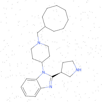 c1ccc2c(c1)nc([C@H]1CCNC1)n2C1CCN(CC2CCCCCCC2)CC1